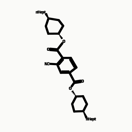 CCCCCCC[C@H]1CC[C@H](OC(=O)c2ccc(C(=O)O[C@H]3CC[C@H](CCCCCCC)CC3)c(C#N)c2)CC1